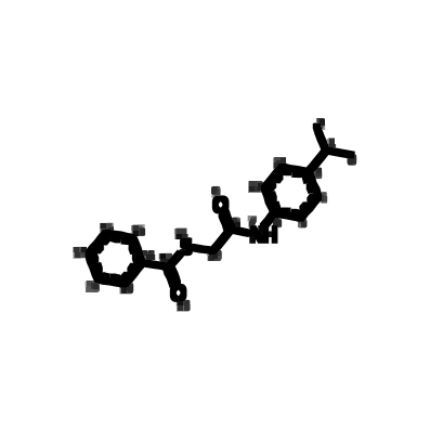 CC(C)c1ccc(NC(=O)CSC(=O)c2ccccc2)cc1